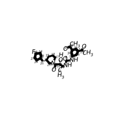 CC(=O)c1cc(NC(=O)N[C@H](C)[C@@H](O)C(=O)N2CCC[C@@H](Cc3ccc(F)cc3)C2)cc(C(C)=O)c1